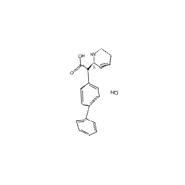 Cl.O=C(O)C(c1ccc(-c2ccccc2)cc1)[C@@H]1C=CCCN1